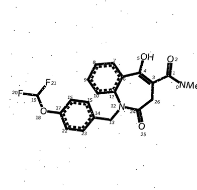 CNC(=O)C1=C(O)c2ccccc2N(Cc2ccc(OC(F)F)cc2)C(=O)C1